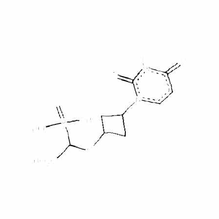 O=C(O)C(OC1CC(n2ccc(=O)[nH]c2=O)C1)P(=O)(O)O